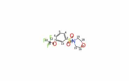 O=S(=O)(c1cccc(OC(F)(F)F)c1)N1CCOCC1